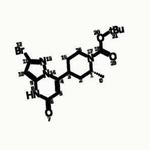 C[C@@H]1CC(c2cc(=O)[nH]c3cc(Br)nn23)CCN1C(=O)OC(C)(C)C